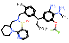 Cc1ccc([C@H](CC(=O)O)c2cc(N)c(N(C)N)c(OC(F)F)c2)cc1CN1CC2CCCCN2c2ncccc2[S+]1[O-]